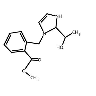 COC(=O)c1ccccc1CN1C=CNC1C(C)O